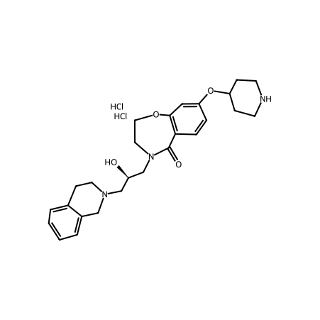 Cl.Cl.O=C1c2ccc(OC3CCNCC3)cc2OCCN1C[C@H](O)CN1CCc2ccccc2C1